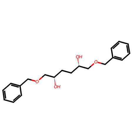 O[C@@H](CC[C@H](O)COCc1ccccc1)COCc1ccccc1